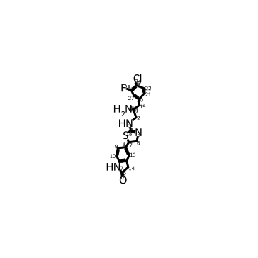 N[C@H](CNC1=NCC(c2ccc3c(c2)CC(=O)N3)S1)Cc1ccc(Cl)c(F)c1